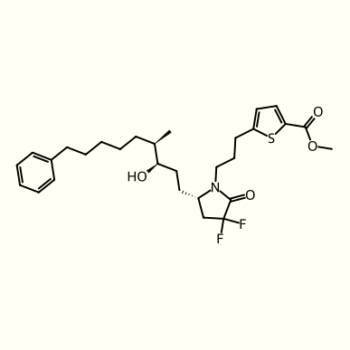 COC(=O)c1ccc(CCCN2C(=O)C(F)(F)C[C@@H]2CC[C@@H](O)[C@H](C)CCCCCc2ccccc2)s1